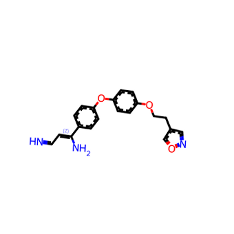 N=C/C=C(\N)c1ccc(Oc2ccc(OCCc3cnoc3)cc2)cc1